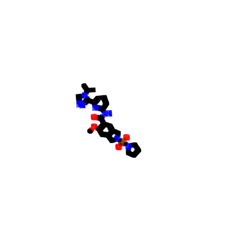 COc1cc2c(cc1C(=O)Nc1cccc(-c3nncn3C(C)C)n1)CN(S(=O)(=O)N1CCCC1)C2